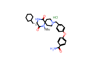 CCCCN1C(=O)[C@H](CC2CCCCC2)NC(=O)C12CCN(Cc1ccc(Oc3ccc(C(N)=O)cc3)cc1)CC2.Cl